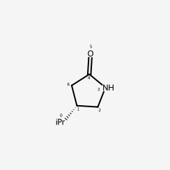 CC(C)[C@H]1CNC(=O)C1